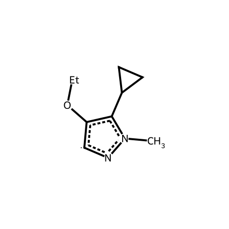 CCOc1[c]nn(C)c1C1CC1